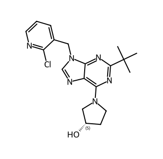 CC(C)(C)c1nc(N2CC[C@H](O)C2)c2ncn(Cc3cccnc3Cl)c2n1